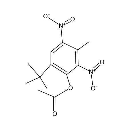 CC(=O)Oc1c(C(C)(C)C)cc([N+](=O)[O-])c(C)c1[N+](=O)[O-]